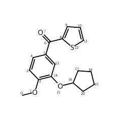 COc1ccc(C(=O)c2cccs2)cc1OC1CCCC1